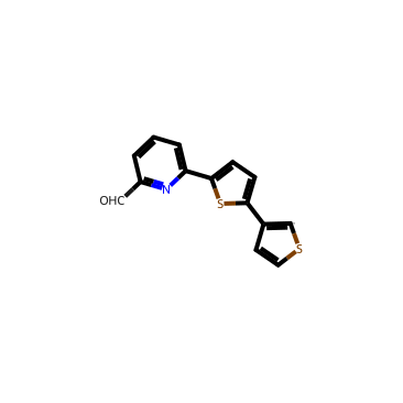 O=Cc1cccc(-c2ccc(-c3[c]scc3)s2)n1